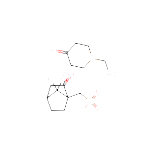 CC(=O)C[S+]1CCC(=O)CC1.CC1(C)C2CCC1(CS(=O)(=O)[O-])C(=O)C2